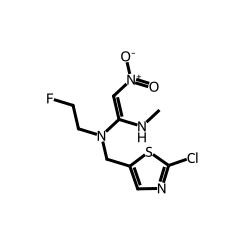 CNC(=C[N+](=O)[O-])N(CCF)Cc1cnc(Cl)s1